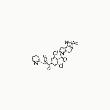 CC(=O)Nc1nccc2c1ccn2C(=O)c1c(Cl)cc(C(=O)NCc2ccccn2)cc1Cl